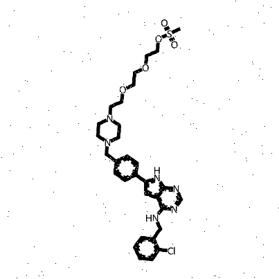 CS(=O)(=O)OCCOCCOCCN1CCN(Cc2ccc(-c3cc4c(NCc5ccccc5Cl)ncnc4[nH]3)cc2)CC1